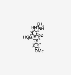 COc1ccc(-c2cc(=O)c3cc(NC(C)=N)ccc3o2)cc1.Cl.O